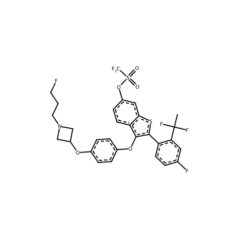 CC(F)(F)c1cc(F)ccc1-c1sc2cc(OS(=O)(=O)C(F)(F)F)ccc2c1Oc1ccc(OC2CN(CCCF)C2)cc1